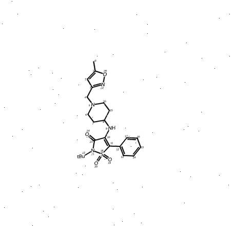 Cc1cc(CN2CCC(NC3=C(c4ccccc4)S(=O)(=O)N(C(C)(C)C)C3=O)CC2)no1